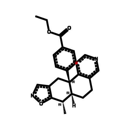 CCOC(=O)c1ccc([C@]23Cc4cnoc4[C@@H](C)[C@@H]2CCc2cncnc23)cc1